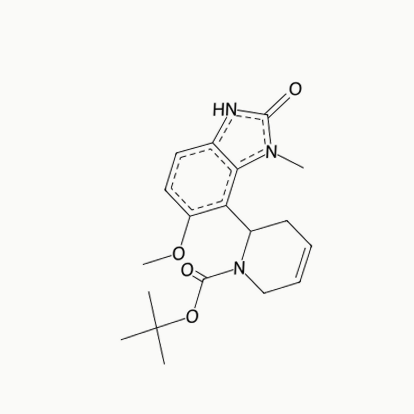 COc1ccc2[nH]c(=O)n(C)c2c1C1CC=CCN1C(=O)OC(C)(C)C